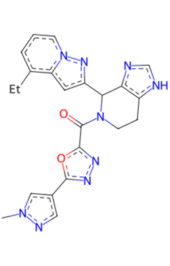 CCc1cccn2nc(C3c4nc[nH]c4CCN3C(=O)c3nnc(-c4cnn(C)c4)o3)cc12